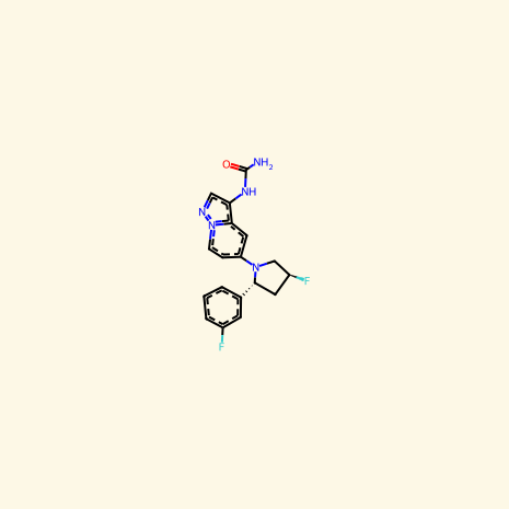 NC(=O)Nc1cnn2ccc(N3C[C@@H](F)C[C@@H]3c3cccc(F)c3)cc12